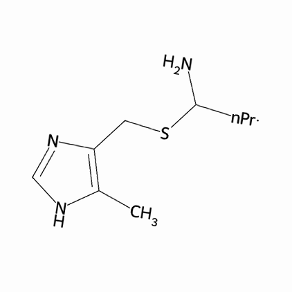 CC[CH]C(N)SCc1nc[nH]c1C